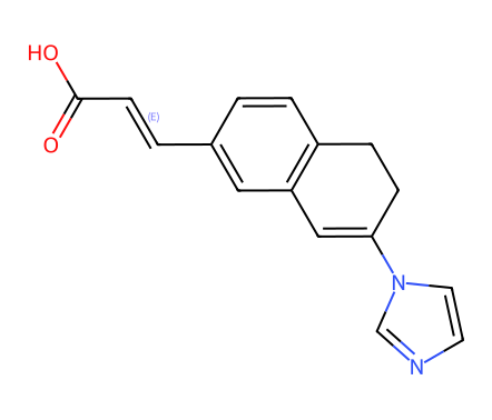 O=C(O)/C=C/c1ccc2c(c1)C=C(n1ccnc1)CC2